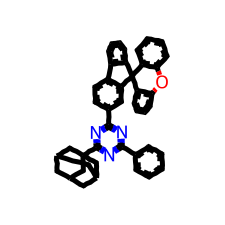 c1ccc(-c2nc(-c3ccc4c(c3)C3(c5ccccc5Oc5ccccc53)c3ccccc3-4)nc(C34CC5CC(CC(C5)C3)C4)n2)cc1